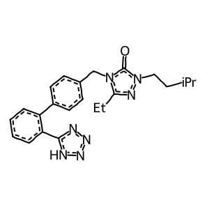 CCc1nn(CCC(C)C)c(=O)n1Cc1ccc(-c2ccccc2-c2nnn[nH]2)cc1